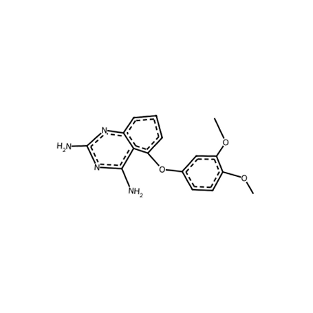 COc1ccc(Oc2cccc3nc(N)nc(N)c23)cc1OC